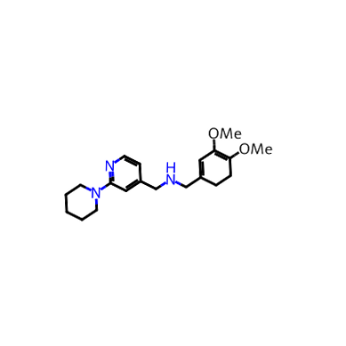 COC1=C(OC)CCC(CNCc2ccnc(N3CCCCC3)c2)=C1